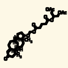 CC(=O)OCC(COC(C)=O)OC(=O)CCCC(=O)OCO[C@H]1CC[C@H]2[C@@H]3CCC4=CC(=O)CC[C@]4(C)[C@@H](CC[C@]12C)C3